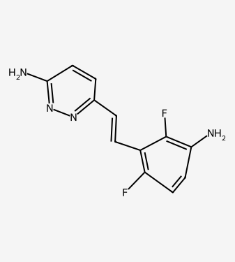 Nc1ccc(C=Cc2c(F)ccc(N)c2F)nn1